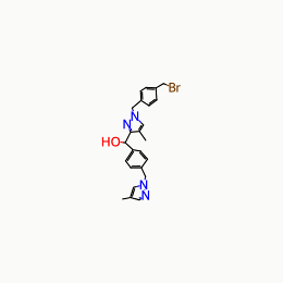 Cc1cnn(Cc2ccc(C(O)c3nn(Cc4ccc(CBr)cc4)cc3C)cc2)c1